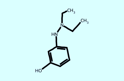 CCN(CC)Nc1cccc(O)c1